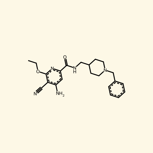 CCOc1nc(C(=O)NCC2CCN(Cc3ccccc3)CC2)cc(N)c1C#N